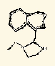 CON1CCN[C]1c1cccc2ccccc12